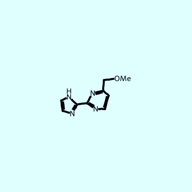 COCc1ccnc(-c2ncc[nH]2)n1